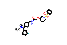 CN(C)C(c1cccc(F)c1)C1CCC(CNC(=O)COC2CCCN(S(=O)(=O)c3ccccc3)C2)CC1